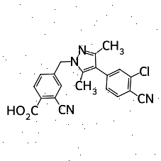 Cc1nn(Cc2ccc(C(=O)O)c(C#N)c2)c(C)c1-c1ccc(C#N)c(Cl)c1